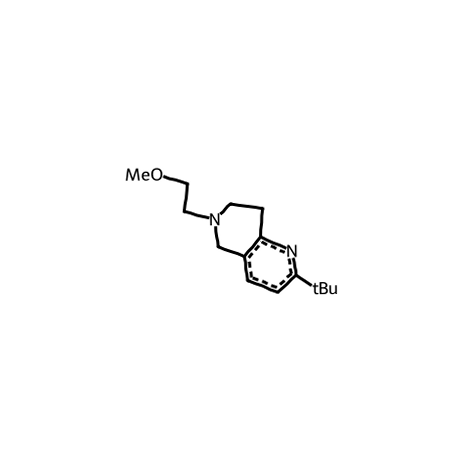 COCCN1CCc2nc(C(C)(C)C)ccc2C1